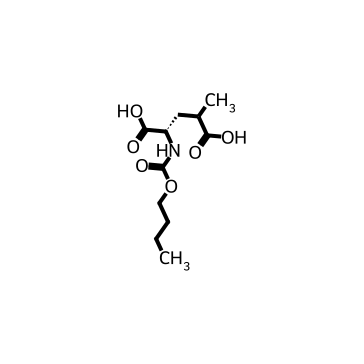 CCCCOC(=O)N[C@@H](CC(C)C(=O)O)C(=O)O